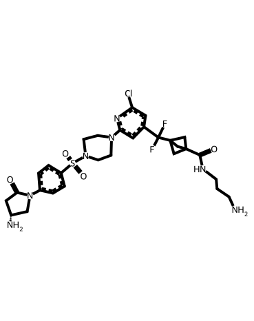 NCCCNC(=O)C12CC(C(F)(F)c3cc(Cl)nc(N4CCN(S(=O)(=O)c5ccc(N6C[C@H](N)CC6=O)cc5)CC4)c3)(C1)C2